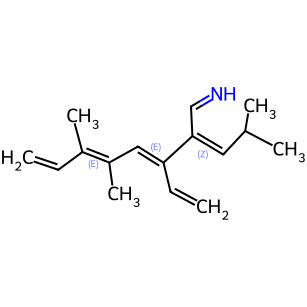 C=CC(=C\C(C)=C(/C)C=C)/C(C=N)=C/C(C)C